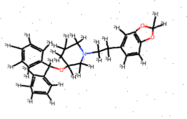 [2H]c1c([2H])c([2H])c(C([2H])(OC2([2H])C([2H])([2H])N(C([2H])([2H])C([2H])([2H])c3c([2H])c([2H])c4c(c3[2H])OC([2H])([2H])O4)C([2H])([2H])C([2H])([2H])C2([2H])[2H])c2c([2H])c([2H])c([2H])c([2H])c2[2H])c([2H])c1[2H]